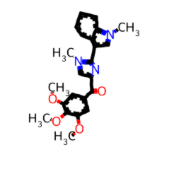 COc1cc(C(=O)c2cn(C)c(-c3cn(C)c4ccccc34)n2)cc(OC)c1OC